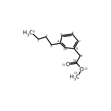 CCCCc1cccc(CC(=O)OC)c1